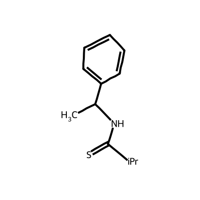 CC(C)C(=S)NC(C)c1ccccc1